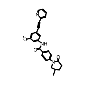 COc1cc(C#Cc2ccccn2)cc(NC(=O)c2ccc(N3CC(C)CCC3=O)cc2)c1